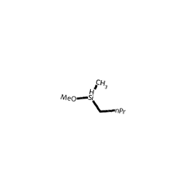 CCCC[SiH](C)OC